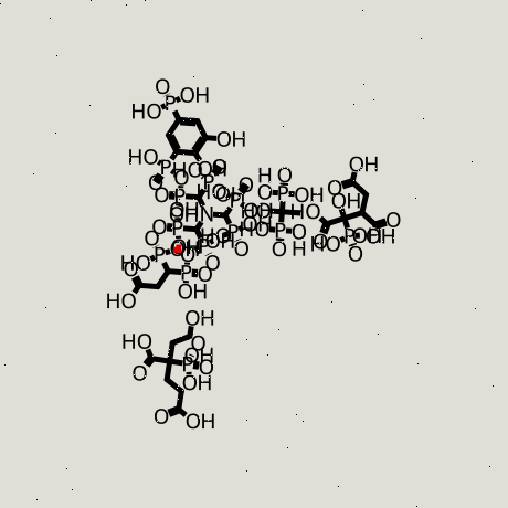 CC(O)(P(=O)(O)O)P(=O)(O)O.O=C(O)CC(C(=O)O)C(O)(C(=O)O)P(=O)(O)O.O=C(O)CC(P(=O)(O)O)P(=O)(O)OP(=O)(O)C(N(C(P(=O)(O)O)P(=O)(O)O)C(P(=O)(O)O)P(=O)(O)OP(=O)(O)c1cc(P(=O)(O)O)cc(O)c1O)P(=O)(O)O.O=C(O)CCC(CC(=O)O)(C(=O)O)P(=O)(O)O